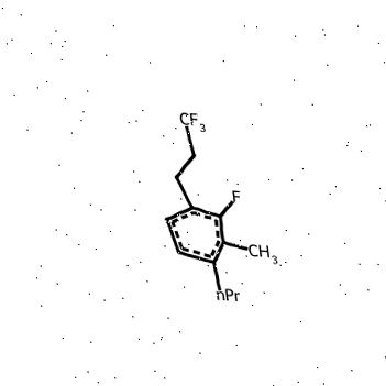 CCCc1ccc(CCC(F)(F)F)c(F)c1C